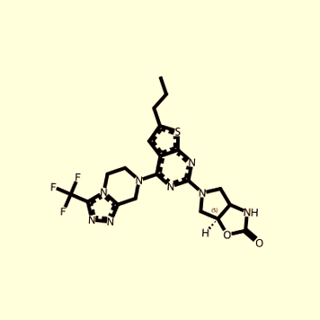 CCCc1cc2c(N3CCn4c(nnc4C(F)(F)F)C3)nc(N3CC4NC(=O)O[C@H]4C3)nc2s1